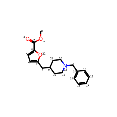 COC(=O)c1ccc(CC2CCN(Cc3ccccc3)CC2)o1